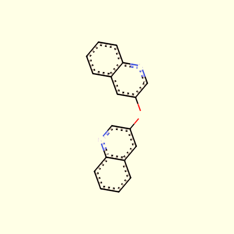 c1ccc2ncc(Oc3cnc4ccccc4c3)cc2c1